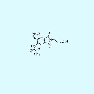 CCCCCCOc1cc2c(cc1NS(C)(=O)=O)C(=O)N(CCC(=O)O)C2=O